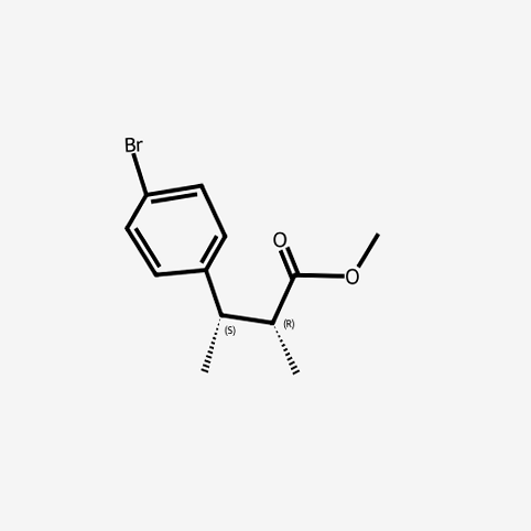 COC(=O)[C@H](C)[C@H](C)c1ccc(Br)cc1